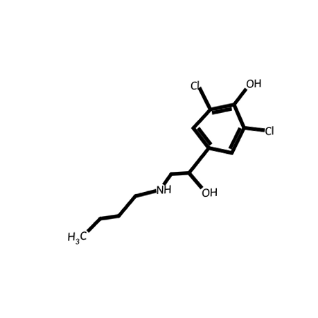 CCCCNCC(O)c1cc(Cl)c(O)c(Cl)c1